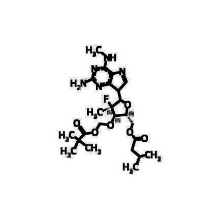 CNc1nc(N)nc2c1N=CC2C1O[C@H](COC(=O)CC(C)C)[C@@H](OCOC(=O)C(C)(C)C)[C@@]1(C)F